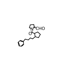 O=C[C@@H]1CCCN1C(=O)C1CCCC1CCCCc1ccccc1